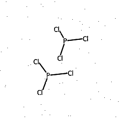 ClP(Cl)Cl.ClP(Cl)Cl